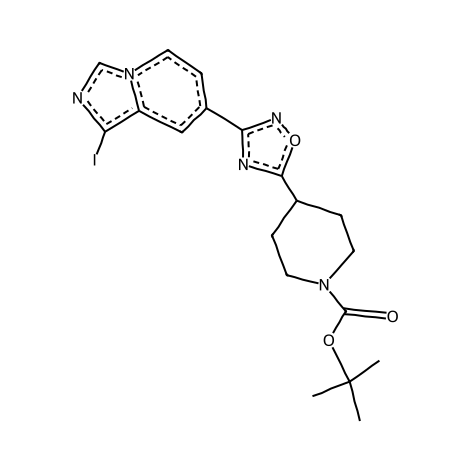 CC(C)(C)OC(=O)N1CCC(c2nc(-c3ccn4cnc(I)c4c3)no2)CC1